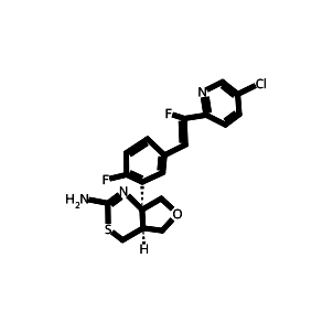 NC1=N[C@@]2(c3cc(/C=C(\F)c4ccc(Cl)cn4)ccc3F)COC[C@H]2CS1